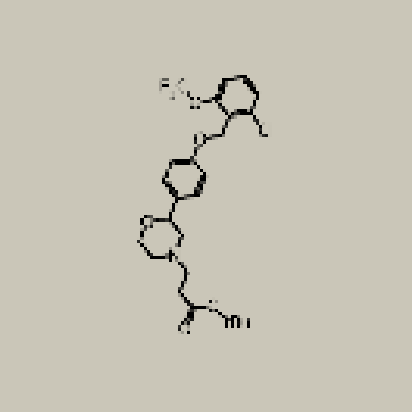 CC(C)(C)OC(=O)CCN1CCOC(c2ccc(OCc3c(Cl)cccc3OC(F)(F)F)cc2)C1